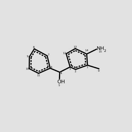 Cc1cc(C(O)c2ccccc2)ccc1N